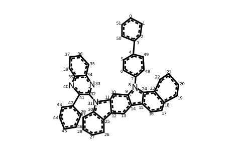 c1ccc(-c2ccc(-n3c4cc5c(cc4c4ccc6ccccc6c43)c3ccccc3n5-c3nc4ccccc4nc3-c3ccccc3)cc2)cc1